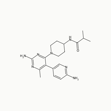 Cc1nc(N)nc(N2CCC(NC(=O)C(C)C)CC2)c1-c1ccc(N)nc1